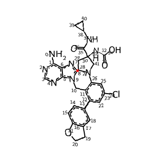 Nc1ncnc2c1ncn2Cc1c(-c2ccc3c(c2)CCO3)cc(Cl)cc1N1CCC(NC(=O)O)(C(=O)NC2CC2)C1